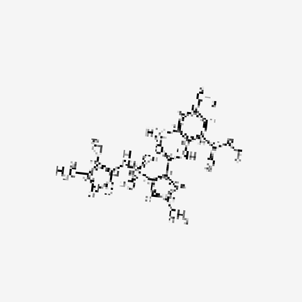 Cc1cc(C)c(NC(=O)c2sc(C)cc2S(=O)(=O)Nc2onc(C)c2Cl)c(C(=O)CF)c1